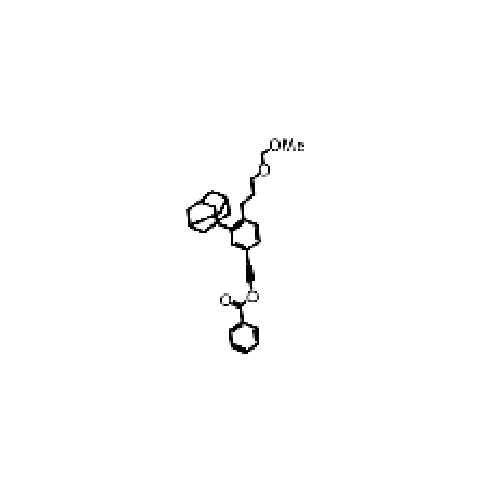 COCOCCCc1ccc(C#COC(=O)c2ccccc2)cc1C12CC3CC(CC(C3)C1)C2